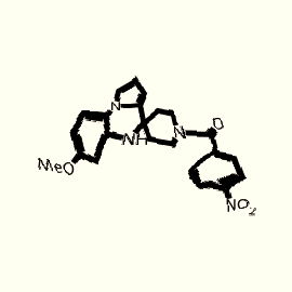 COc1ccc2c(c1)NC1(CCN(C(=O)c3ccc([N+](=O)[O-])cc3)CC1)c1cccn1-2